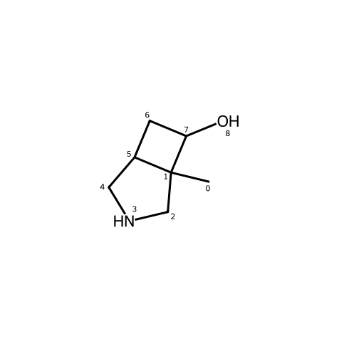 CC12CNCC1CC2O